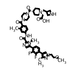 COCCn1cc(-c2ccc(-c3cnc(C(=O)Nc4ccc(C(=O)N5CCN(C(=O)[C@H]6CC[N@+](CC(=O)O)(CC7CNC7)CC6)CC5)c(C)c4)n3C)c(F)c2F)c(C)n1